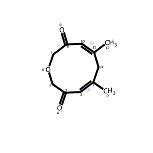 C/C1=C/C(=O)COCC(=O)/C=C(/C)C1